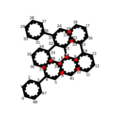 c1ccc(-c2ccc(N(c3ccccc3-c3ccccc3)c3cccc(-c4ccccc4)c3-c3ccccc3-c3ccccc3)cc2)cc1